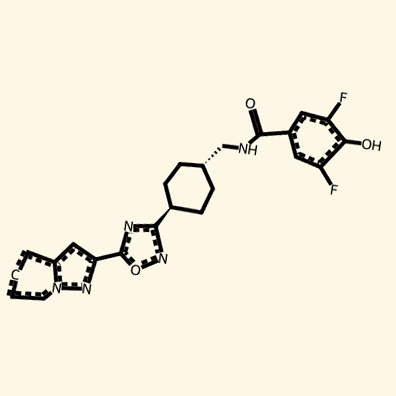 O=C(NC[C@H]1CC[C@H](c2noc(-c3cc4ccccn4n3)n2)CC1)c1cc(F)c(O)c(F)c1